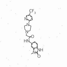 Cn1c(=O)[nH]c2ccc(NC(=O)CN3CCN(c4ccc(C(F)(F)F)cn4)CC3)cc21